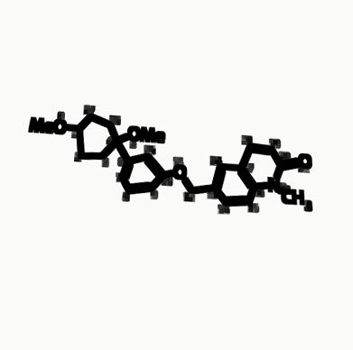 COC1CCC(OC)(c2cccc(OCc3ccc4c(ccc(=O)n4C)c3)c2)CC1